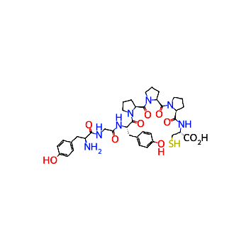 N[C@@H](Cc1ccc(O)cc1)C(=O)NCC(=O)N[C@@H](Cc1ccc(O)cc1)C(=O)N1CCC[C@H]1C(=O)N1CCC[C@H]1C(=O)N1CCC[C@H]1C(=O)N[C@@H](CS)C(=O)O